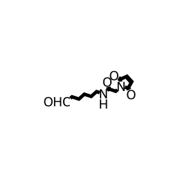 O=CCCCCCNC(=O)CN1C(=O)C=CC1=O